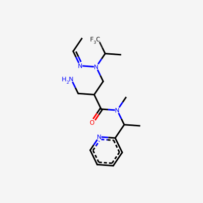 C/C=N\N(CC(CN)C(=O)N(C)C(C)c1ccccn1)C(C)C(F)(F)F